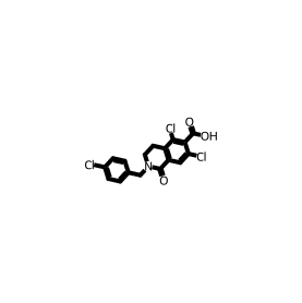 O=C(O)c1c(Cl)cc2c(c1Cl)CCN(Cc1ccc(Cl)cc1)C2=O